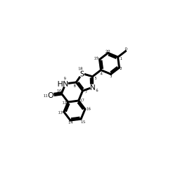 Cc1ccc(-c2nc3c([nH]c(=O)c4ccccc43)s2)cc1